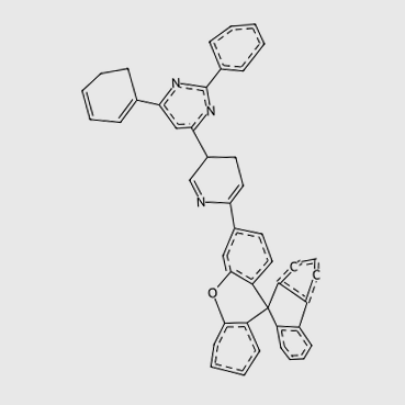 C1=CCCC(c2cc(C3C=NC(c4ccc5c(c4)Oc4ccccc4C54c5ccccc5-c5ccccc54)=CC3)nc(-c3ccccc3)n2)=C1